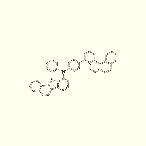 c1ccc(N(c2ccc(-c3cccc4c3ccc3ccc5ccccc5c34)cc2)c2cccc3c2sc2c4ccccc4ccc32)cc1